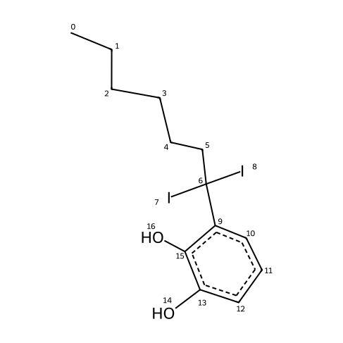 CCCCCCC(I)(I)c1cccc(O)c1O